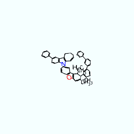 CC1=Cc2oc3ccc(-n4c5c(c6cc(-c7ccccc7)ccc64)CCCC=C5)cc3c2C(C)C1c1c(C)ccc(-c2cccc(-c3ccccc3)c2)c1C